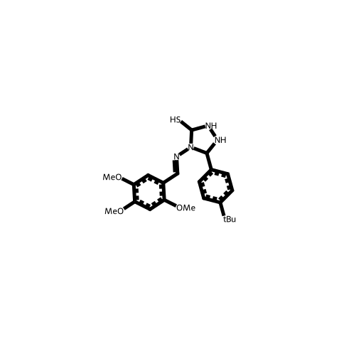 COc1cc(OC)c(OC)cc1C=NN1C(S)NNC1c1ccc(C(C)(C)C)cc1